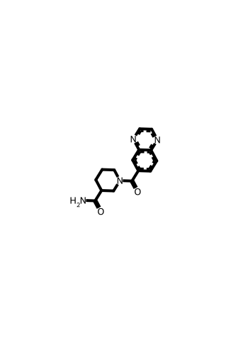 NC(=O)C1CCCN(C(=O)c2ccc3nccnc3c2)C1